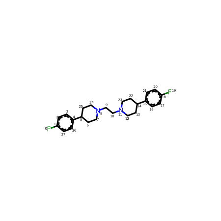 Fc1ccc(C2CCN(CCN3CCC(c4ccc(F)cc4)CC3)CC2)cc1